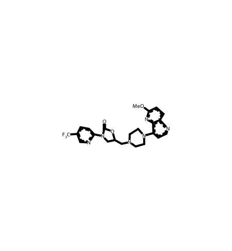 COc1ccc2nccc(N3CCN(CC4CN(c5ccc(C(F)(F)F)cn5)C(=O)O4)CC3)c2n1